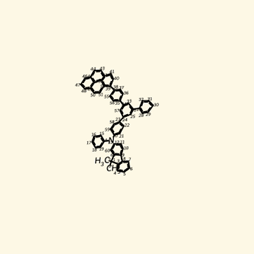 CC1(C)c2ccccc2-c2ccc(N(c3ccccc3)c3ccc(-c4cc(-c5ccccc5)cc(-c5ccc(-c6ccc7ccc8cccc9ccc6c7c89)cc5)c4)cc3)cc21